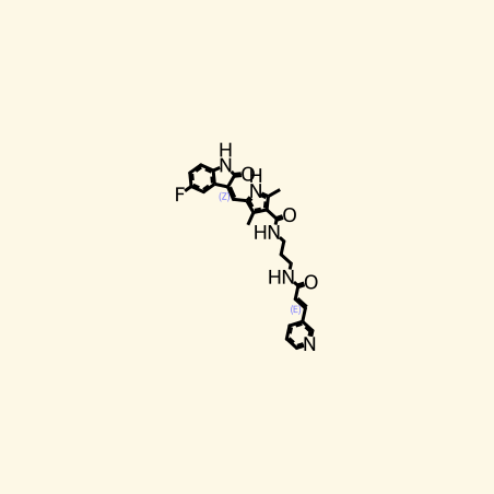 Cc1[nH]c(/C=C2\C(=O)Nc3ccc(F)cc32)c(C)c1C(=O)NCCCNC(=O)/C=C/c1cccnc1